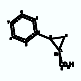 O=C(O)[C@@H]1CC1c1ccccc1